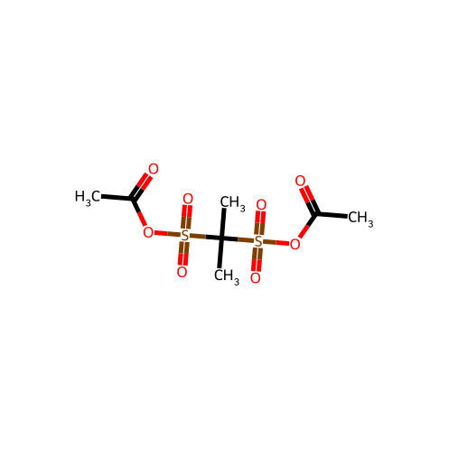 CC(=O)OS(=O)(=O)C(C)(C)S(=O)(=O)OC(C)=O